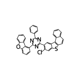 Clc1cc2sc3ccc4ccccc4c3c2cc1-c1nc(-c2ccccc2)nc(-c2cccc3oc4ccccc4c23)n1